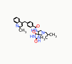 Cc1cc(Cc2ccc(C(=O)NC3CN(CC(C)C)CC34NC(=O)NC4=O)cc2)c2ccccc2n1